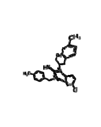 Cc1ccc(CC(CO)n2c(=N)n(Cc3ccc(C)cc3)c3cc(Cl)ccc32)cc1